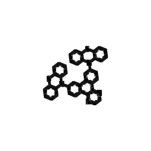 c1ccc2c(c1)Sc1ccccc1N2c1ccc2c(c1)c1cc(N3c4ccccc4Sc4ccccc43)ccc1c1nccnc21